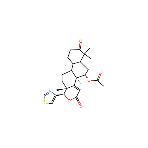 CC(=O)O[C@@H]1CC2C(C)(C)C(=O)CC[C@]2(C)C2CC[C@]3(C)C(=CC(=O)O[C@H]3c3cscn3)[C@@]21C